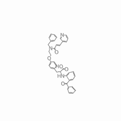 O=C(c1ccccc1)c1ccccc1NC(Cc1ccc(OCCN(Cc2ccccc2)C(=O)C=Cc2cccnc2)cc1)C(=O)O